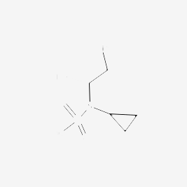 CC(C)C[C@@H](C)N(C1CC1)S(=O)(=O)C(C)(C)C